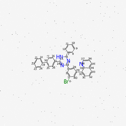 Brc1cc(C2=NC(c3ccccc3)NC(c3ccc(-c4ccccc4)cc3)=N2)cc(-c2cccc3cccnc23)c1